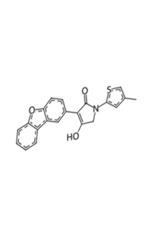 Cc1csc(N2CC(O)=C(c3ccc4oc5ccccc5c4c3)C2=O)c1